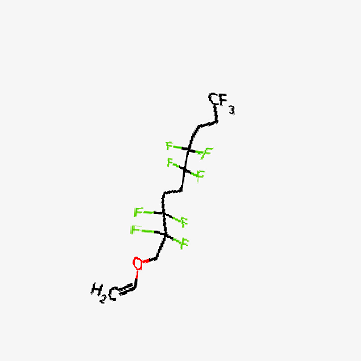 C=COCC(F)(F)C(F)(F)CCC(F)(F)C(F)(F)CCC(F)(F)F